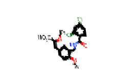 CC(C)Oc1ccc(CC(OC(C)C)C(=O)O)cc1CNC(=O)c1ccc(Cl)cc1Cl